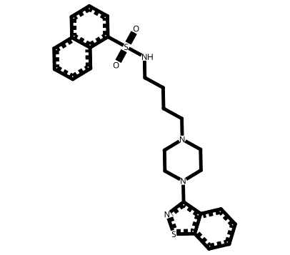 O=S(=O)(NCCCCN1CCN(c2nsc3ccccc23)CC1)c1cccc2ccccc12